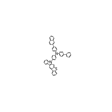 c1ccc(-c2ccc(N(c3ccc(-c4ccc5ccccc5c4)cc3)c3ccc(-n4c5ccccc5c5cc6c(cc54)sc4ccccc46)cc3)cc2)cc1